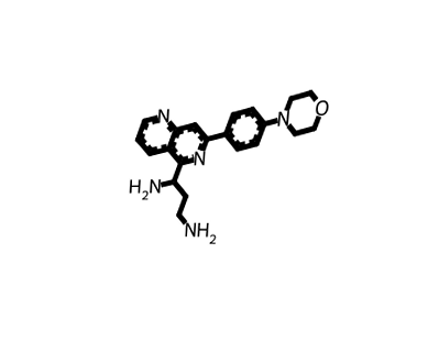 NCCC(N)c1nc(-c2ccc(N3CCOCC3)cc2)cc2ncccc12